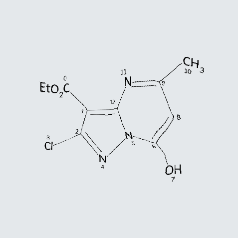 CCOC(=O)c1c(Cl)nn2c(O)cc(C)nc12